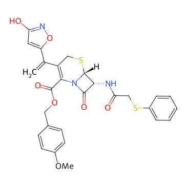 C=C(C1=C(C(=O)OCc2ccc(OC)cc2)N2C(=O)[C@@H](NC(=O)CSc3ccccc3)[C@H]2SC1)c1cc(O)no1